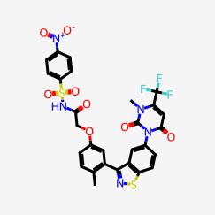 Cc1ccc(OCC(=O)NS(=O)(=O)c2ccc([N+](=O)[O-])cc2)cc1-c1nsc2ccc(-n3c(=O)cc(C(F)(F)F)n(C)c3=O)cc12